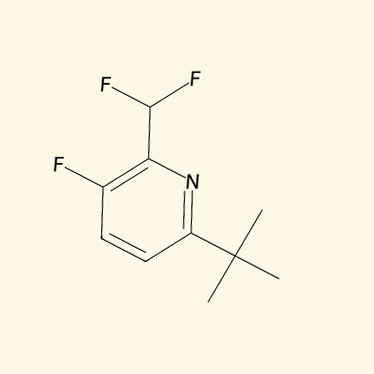 CC(C)(C)c1ccc(F)c(C(F)F)n1